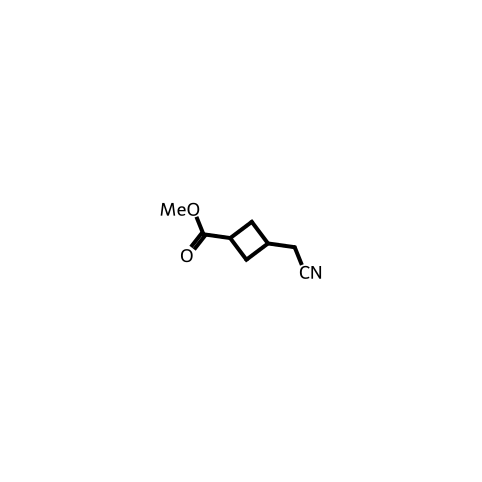 COC(=O)C1CC(CC#N)C1